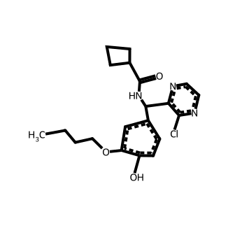 CCCCOc1cc(C(NC(=O)C2CCC2)c2nccnc2Cl)ccc1O